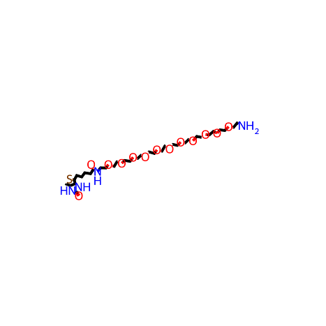 NCCOCCOCCOCCOCCOCCOCCOCCOCCOCCOCCOCCNC(=O)CCCCC1SCC2NC(=O)NC21